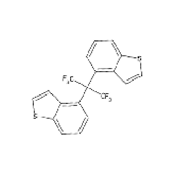 FC(F)(F)C(c1cccc2sccc12)(c1cccc2sccc12)C(F)(F)F